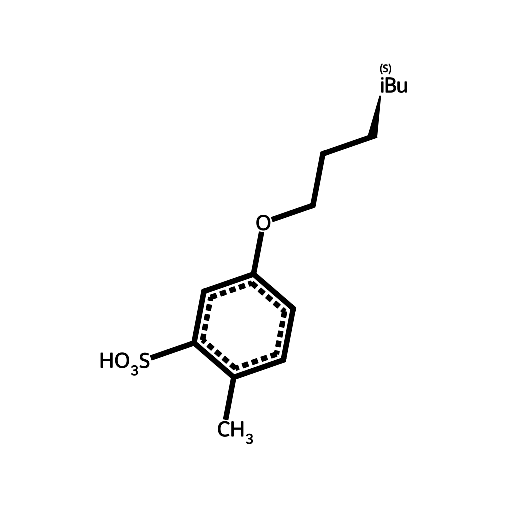 CC[C@H](C)CCCOc1ccc(C)c(S(=O)(=O)O)c1